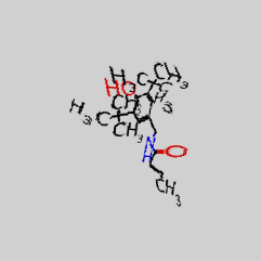 C/C=C/C(=O)NCc1cc(C(C)(C)C)c(O)c(C(C)(C)C)c1